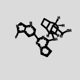 O=C(O)[C@H]1[C@H](Nc2nc(-c3c[nH]c4cnc(F)c-4c3)nn3cccc23)[C@@H]2CC[C@H]1C1CCC12